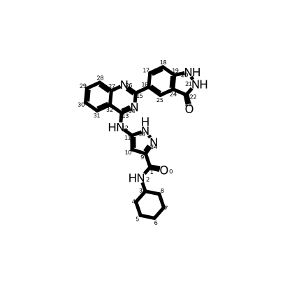 O=C(NC1CCCCC1)c1cc(Nc2nc(-c3ccc4[nH][nH]c(=O)c4c3)nc3ccccc23)[nH]n1